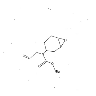 C=CCN(C(=O)OC(C)(C)C)C1CCC2OC2C1